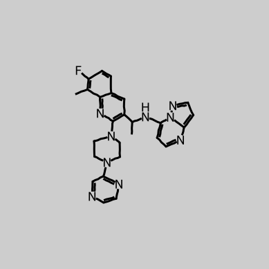 Cc1c(F)ccc2cc(C(C)Nc3ccnc4ccnn34)c(N3CCN(c4cnccn4)CC3)nc12